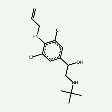 C=CCNc1c(Cl)cc(C(O)CNC(C)(C)C)cc1Cl